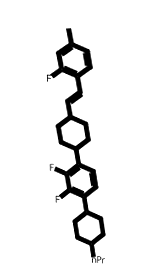 CCCC1CCC(c2ccc(C3CCC(/C=C/c4ccc(C)cc4F)CC3)c(F)c2F)CC1